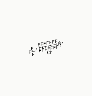 C[N+](C)(C)C(F)(F)C(F)(F)C(F)(F)C(F)(F)C(F)(F)C(F)(F)C(F)(F)CCC(F)(F)F.[Cl-]